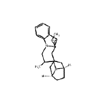 COCCC1C[C@H]2CC[C@@H](C1)N2CC(C)Cn1ncc2ccccc21